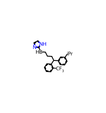 CC(C)c1cccc(C(CCCBc2ncc[nH]2)c2ccccc2C(F)(F)F)c1